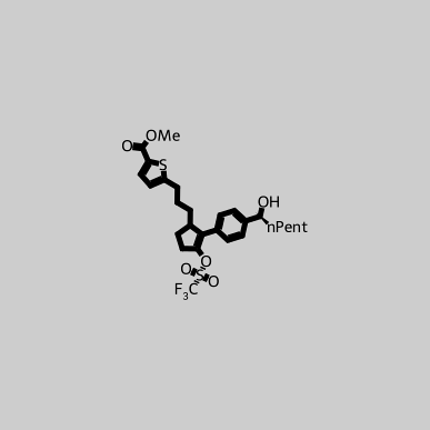 CCCCC[C@H](O)c1ccc(C2=C(OS(=O)(=O)C(F)(F)F)CCC2CCCc2ccc(C(=O)OC)s2)cc1